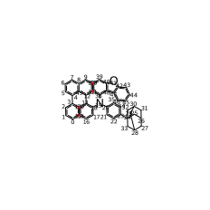 c1ccc(-c2cccc3cccc(-c4ccccc4N(c4ccc(C56CC7CC(CC(C7)C5)C6)cc4)c4cccc5oc6ccccc6c45)c23)cc1